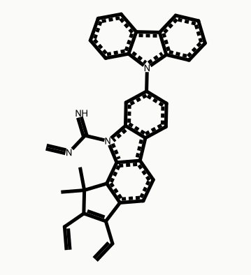 C=CC1=C(C=C)C(C)(C)c2c1ccc1c3ccc(-n4c5ccccc5c5ccccc54)cc3n(C(=N)N=C)c21